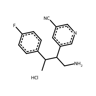 CC(c1ccc(F)cc1)C(CN)c1cncc(C#N)c1.Cl